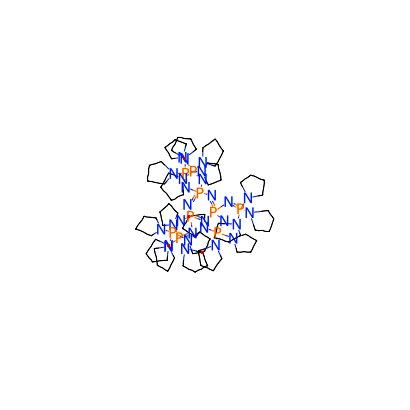 C1CCN(P(=NP2(N=P(N3CCCC3)(N3CCCC3)N3CCCC3)=NP(N=P(N3CCCC3)(N3CCCC3)N3CCCC3)(N=P(N3CCCC3)(N3CCCC3)N3CCCC3)=NP(N=P(N3CCCC3)(N3CCCC3)N3CCCC3)(N=P(N3CCCC3)(N3CCCC3)N3CCCC3)=N2)(N2CCCC2)N2CCCC2)C1